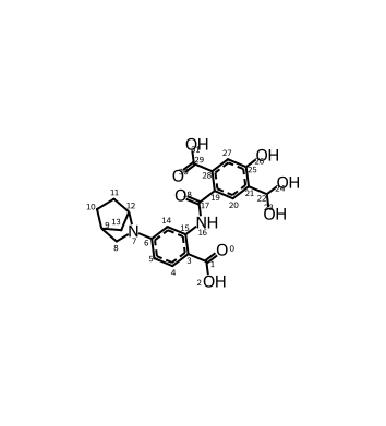 O=C(O)c1ccc(N2CC3CCC2C3)cc1NC(=O)c1cc(C(O)O)c(O)cc1C(=O)O